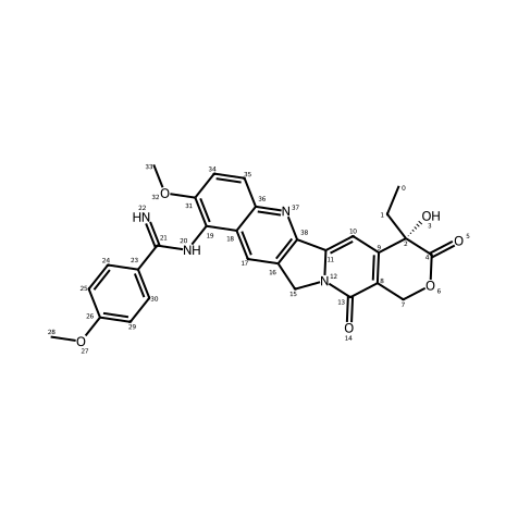 CC[C@@]1(O)C(=O)OCc2c1cc1n(c2=O)Cc2cc3c(NC(=N)c4ccc(OC)cc4)c(OC)ccc3nc2-1